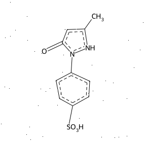 Cc1[c]c(=O)n(-c2ccc(S(=O)(=O)O)cc2)[nH]1